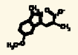 COc1ccc2c(c1)c(C=C(C)[N+](=O)[O-])nn2C